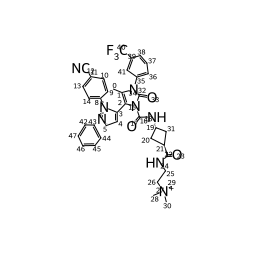 Cc1c(-c2ccnn2-c2ccc(C#N)cc2)n(C(=O)N[C@H]2C[C@H](C(=O)NCC[N+](C)(C)C)C2)c(=O)n1-c1cccc(C(F)(F)F)c1.c1ccccc1